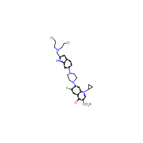 O=C(O)c1cn(C2CC2)c2cc(N3CCN(c4ccc5cc(CN(CCCl)CCCl)[nH]c5c4)CC3)c(F)cc2c1=O